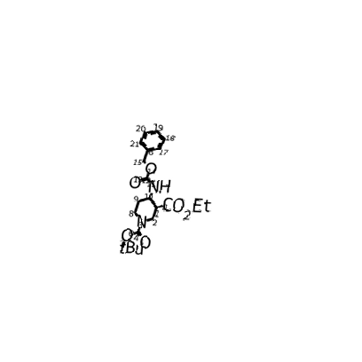 CCOC(=O)[C@H]1CN(C(=O)OC(C)(C)C)CC[C@H]1NC(=O)OCc1ccccc1